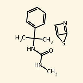 CNC(=O)NC(C)(C)c1ccccc1.c1nc2sc1-2